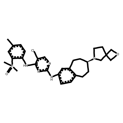 Cc1ccc(Nc2nc(Nc3ccc4c(c3)CC[C@@H](N3CCC5(COC5)C3)CC4)ncc2Cl)c(P(C)(C)=O)c1